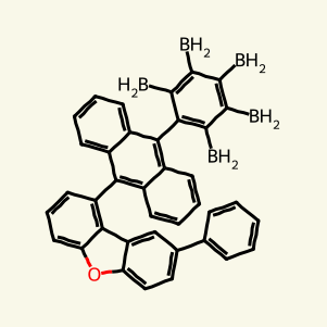 Bc1c(B)c(B)c(-c2c3ccccc3c(-c3cccc4oc5ccc(-c6ccccc6)cc5c34)c3ccccc23)c(B)c1B